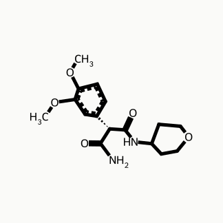 COc1ccc([C@@H](C(N)=O)C(=O)NC2CCOCC2)cc1OC